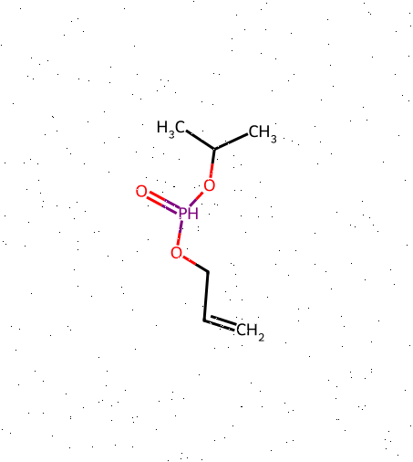 C=CCO[PH](=O)OC(C)C